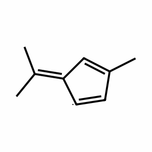 CC1=CC(=C(C)C)[C]=C1